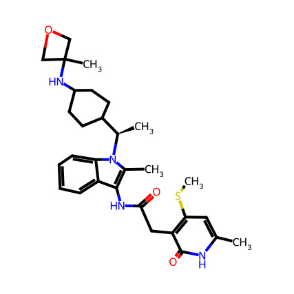 CSc1cc(C)[nH]c(=O)c1CC(=O)Nc1c(C)n([C@H](C)C2CCC(NC3(C)COC3)CC2)c2ccccc12